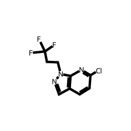 FC(F)(F)CCn1ncc2ccc(Cl)nc21